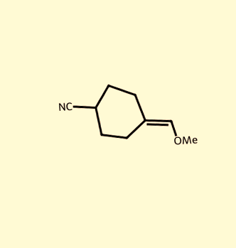 COC=C1CCC(C#N)CC1